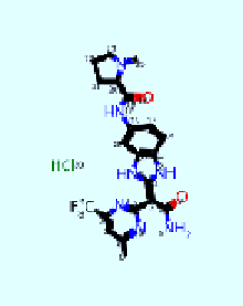 Cc1cc(C(F)(F)F)nc(C(C(N)=O)=C2Nc3ccc(NC(=O)C4CCCN4C)cc3N2)n1.Cl